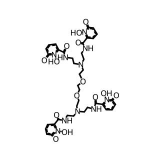 O=C(NCCN(CCNC(=O)c1cccc(=O)n1O)CCOCCOCCN(CCNC(=O)c1cccc(=O)n1O)CCNC(=O)c1cccc(=O)n1O)c1cccc(=O)n1O